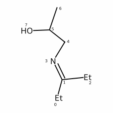 CCC(CC)=NCC(C)O